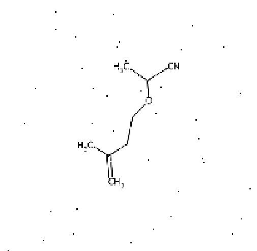 C=C(C)CCOC(C)C#N